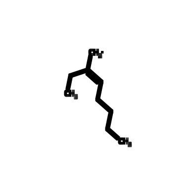 [CH2]C(=CCCCC)CC